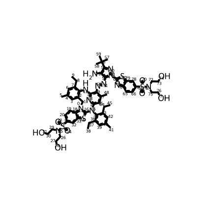 CCc1cc(C)cc(CC)c1Nc1nc(N(c2nc3ccc(S(=O)(=O)N(CCO)CCO)cc3s2)c2c(CC)cc(C)cc2CC)cc(C)c1/N=N/c1c(N)c(C(C)(C)C)nn1-c1nc2ccc(S(=O)(=O)N(CCO)CCO)cc2s1